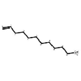 C=CCCCCCCCC[CH2][Sn]